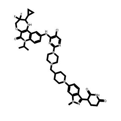 CC(C)n1c(=O)c2c(c3cc(Nc4nc(N5CCN(CC6CCN(c7ccc8c(C9CCC(=O)NC9=O)nn(C)c8c7)CC6)CC5)ncc4Cl)ccc31)NC(C1CC1)C(F)(F)CO2